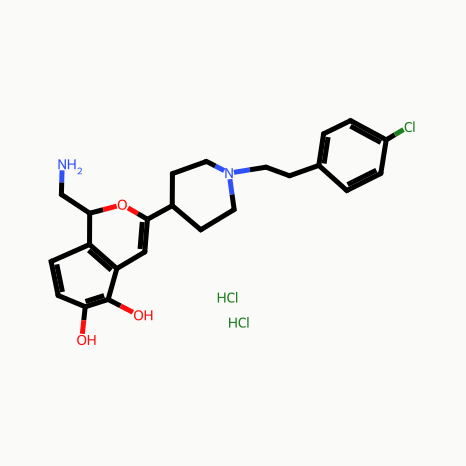 Cl.Cl.NCC1OC(C2CCN(CCc3ccc(Cl)cc3)CC2)=Cc2c1ccc(O)c2O